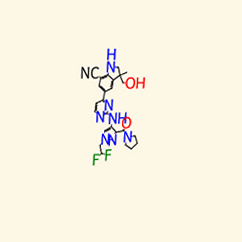 CC1(CO)CNc2c(C#N)cc(-c3ccnc(Nc4cn(CC(F)F)nc4C(=O)N4CCCC4)n3)cc21